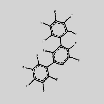 Fc1cc(-c2c(F)c(F)c(F)c(F)c2F)c(F)c(-c2c(F)c(F)c(F)c(F)c2F)c1F